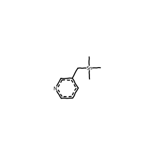 [CH3][Sn]([CH3])([CH3])[CH2]c1cccnc1